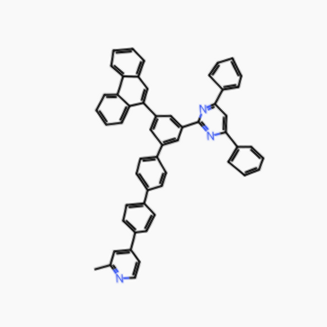 Cc1cc(-c2ccc(-c3ccc(-c4cc(-c5nc(-c6ccccc6)cc(-c6ccccc6)n5)cc(-c5cc6ccccc6c6ccccc56)c4)cc3)cc2)ccn1